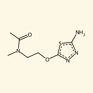 CC(=O)N(C)CCOc1nnc(N)s1